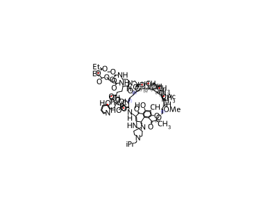 CCC(=O)OCOC(=O)NCCN(CC(=O)O[C@@H]1[C@@H](C)[C@@H](O)[C@@H](C)[C@H](OC(C)=O)[C@H](C)[C@@H](OC)/C=C/O[C@@]2(C)Oc3c(C)c(O)c4c(c3C2=O)C2=NC3(CCN(CC(C)C)CC3)NC2=C(NC(=O)/C(C)=C\C=C\[C@@H]1C)C4=O)C(=O)C(CCC(=O)OC(Cc1ccccn1)(P(O)O)P(=O)(O)O)NC(=O)OCOC(=O)CC